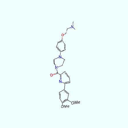 COc1ccc(-c2cccc(C(=O)N3CCN(c4ccc(OCCN(C)C)cc4)CC3)n2)cc1OC